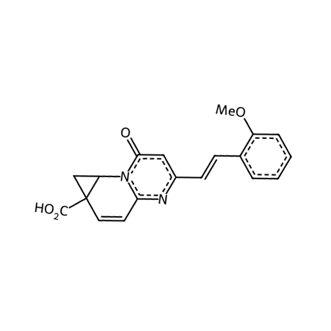 COc1ccccc1/C=C/c1cc(=O)n2c(n1)C=CC1(C(=O)O)CC21